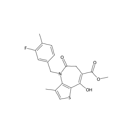 COC(=O)C1=C(O)c2scc(C)c2N(Cc2ccc(C)c(F)c2)C(=O)C1